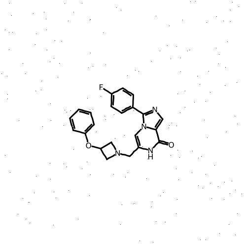 O=c1[nH]c(CN2CC(Oc3ccccc3)C2)cn2c(-c3ccc(F)cc3)ncc12